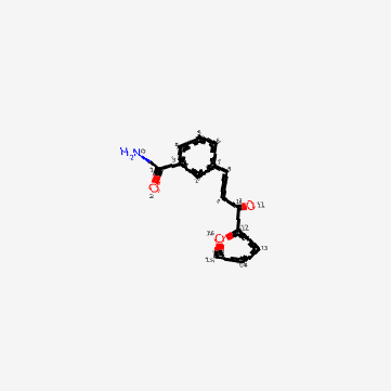 NC(=O)c1cccc(C=CC(=O)c2ccco2)c1